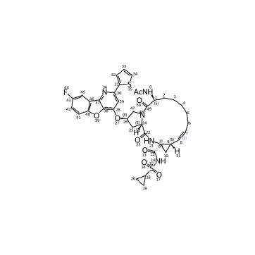 CC(=O)N[C@H]1CCCCC/C=C\[C@@H]2C[C@@]2(C(=O)NS(=O)(=O)C2CC2)NC(=O)[C@@H]2C[C@@H](Oc3cc(-c4cccs4)nc4c3oc3ccc(F)cc34)CN2C1=O